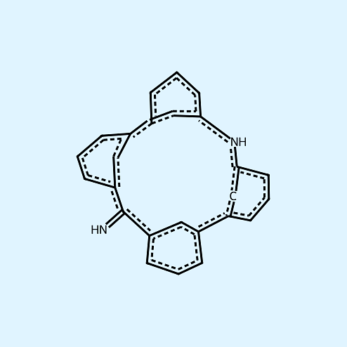 N=c1c2cccc(c2)c2cccc(c2)[nH]c2cccc(c2)c2cccc1c2